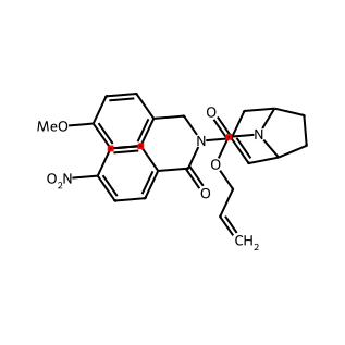 C=CCOC(=O)N1C2C=C(N(Cc3ccc(OC)cc3)C(=O)c3ccc([N+](=O)[O-])cc3)CC1CC2